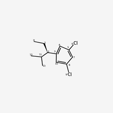 CC[C@@H](c1cc(Cl)cc(Cl)c1)C(C)C